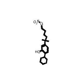 CC(C)(CCCCO[N+](=O)[O-])c1ccc(C2CCCCC2)c(O)c1